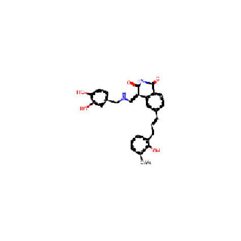 COc1cccc(CC=Cc2ccc3c(c2)C(=CNCc2ccc(O)c(O)c2)C(=O)NC3=O)c1O